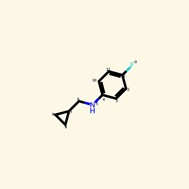 Fc1ccc(NCC2CC2)cc1